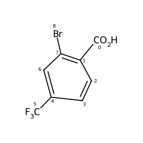 O=C(O)c1ccc(C(F)(F)F)cc1Br